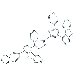 c1ccc(-c2nc(-c3ccc(-c4ccc(-c5ccc6ccccc6c5)c5oc6ccccc6c45)c4ccccc34)nc(-c3cccc4oc5ccccc5c34)n2)cc1